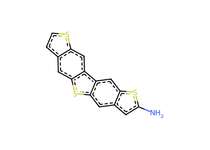 Nc1cc2cc3sc4cc5ccsc5cc4c3cc2s1